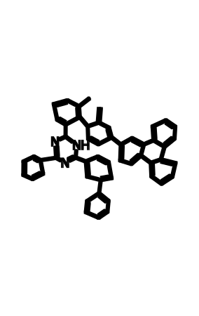 C=C1C=C(c2ccc3c4ccccc4c4ccccc4c3c2)C=CC1c1c(C)cccc1C1N=C(c2ccccc2)N=C(c2cccc(-c3ccccc3)c2)N1